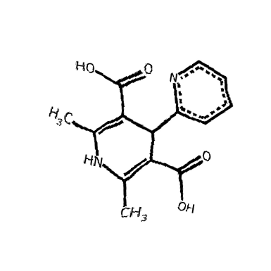 CC1=C(C(=O)O)C(c2ccccn2)C(C(=O)O)=C(C)N1